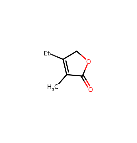 CCC1=C(C)C(=O)OC1